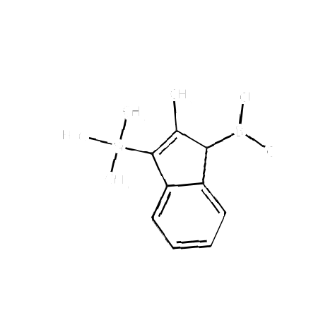 CC1=C([Si](C)(C)C)c2ccccc2C1B(Cl)Cl